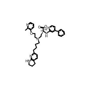 Cc1ncccc1OCCN(CCCCc1ccc2c(n1)NCCC2)CC[C@H](Nc1cc(-c2ccccc2)ccn1)C(=O)O